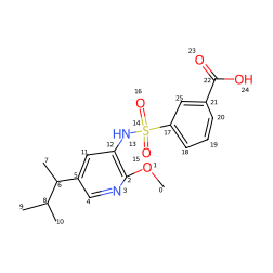 COc1ncc(C(C)C(C)C)cc1NS(=O)(=O)c1cccc(C(=O)O)c1